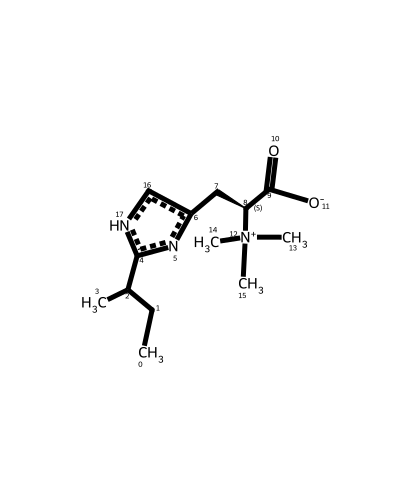 CCC(C)c1nc(C[C@@H](C(=O)[O-])[N+](C)(C)C)c[nH]1